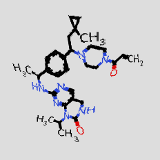 C=CC(=O)N1CCN(C(CC2(C)CC2)c2ccc([C@H](C)Nc3ncc4c(n3)N(C(C)C)C(=O)NC4)cc2)CC1